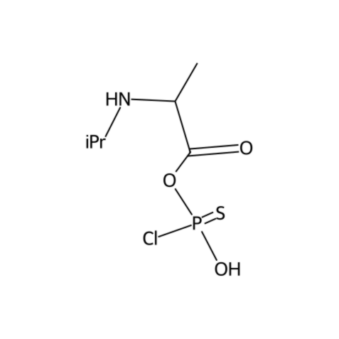 CC(C)NC(C)C(=O)OP(O)(=S)Cl